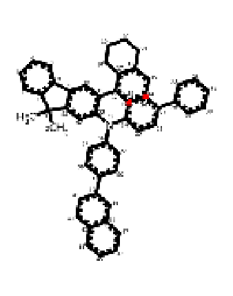 CC1(C)c2ccccc2-c2cc(-c3cccc4c3CCCC4)c(N(c3ccc(-c4ccccc4)cc3)c3ccc(-c4ccc5ccccc5c4)cc3)cc21